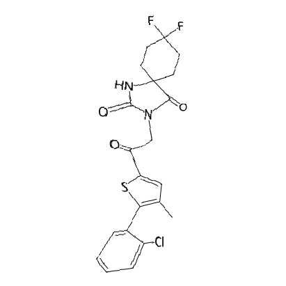 Cc1cc(C(=O)CN2C(=O)NC3(CCC(F)(F)CC3)C2=O)sc1-c1ccccc1Cl